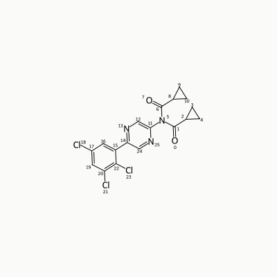 O=C(C1CC1)N(C(=O)C1CC1)c1cnc(-c2cc(Cl)cc(Cl)c2Cl)cn1